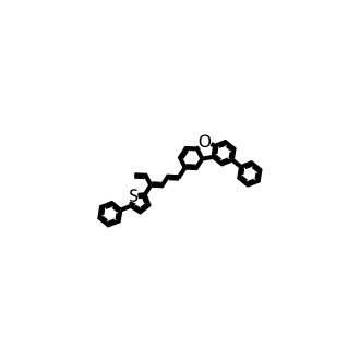 C=C/C(=C\C=C\C1=CC2c3cc(-c4ccccc4)ccc3OC2C=C1)c1ccc(-c2ccccc2)s1